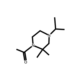 CC(=O)N1CCN(C(C)C)CC1(C)C